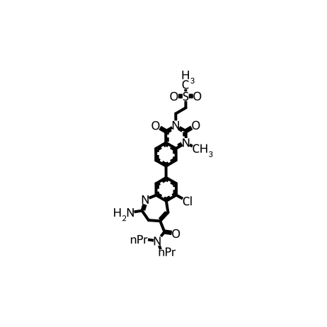 CCCN(CCC)C(=O)C1=Cc2c(Cl)cc(-c3ccc4c(=O)n(CCS(C)(=O)=O)c(=O)n(C)c4c3)cc2N=C(N)C1